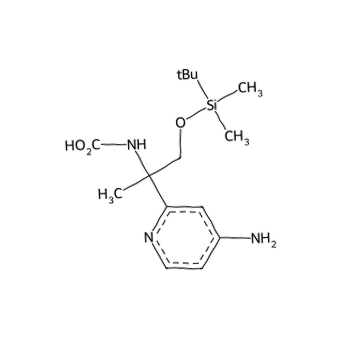 CC(CO[Si](C)(C)C(C)(C)C)(NC(=O)O)c1cc(N)ccn1